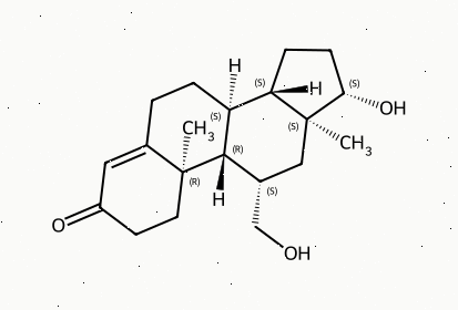 C[C@]12C[C@H](CO)[C@H]3[C@@H](CCC4=CC(=O)CC[C@@]43C)[C@@H]1CC[C@@H]2O